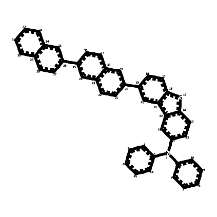 c1ccc(N(c2ccccc2)c2ccc3sc4ccc(-c5ccc6cc(-c7ccc8ccccc8c7)ccc6c5)cc4c3c2)cc1